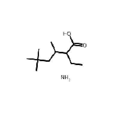 CCC(C(=O)O)C(C)CC(C)(C)C.N